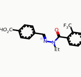 CCN(/N=C/c1ccc(C(=O)O)cc1)C(=O)c1ccccc1C(F)(F)F